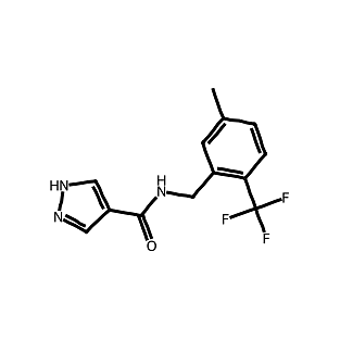 Cc1ccc(C(F)(F)F)c(CNC(=O)c2cn[nH]c2)c1